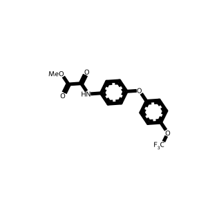 COC(=O)C(=O)Nc1ccc(Oc2ccc(OC(F)(F)F)cc2)cc1